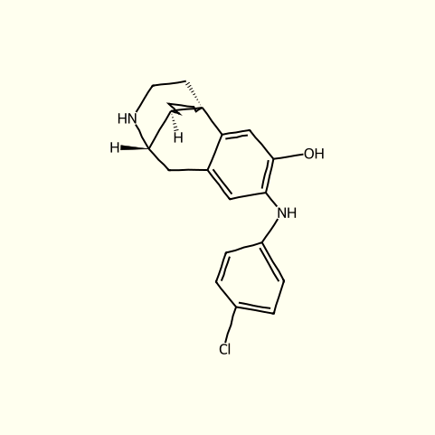 Oc1cc2c(cc1Nc1ccc(Cl)cc1)C[C@@H]1NCC[C@]23CCCC[C@H]13